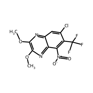 COc1nc2cc(Cl)c(C(F)(F)F)c([N+](=O)[O-])c2nc1OC